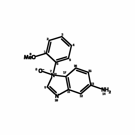 COc1ccccc1[N+]1([O-])C=Nc2cc(N)ccc21